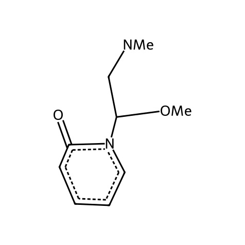 CNCC(OC)n1ccccc1=O